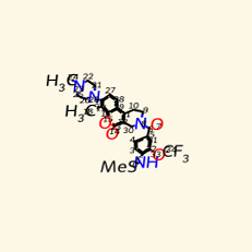 CSNc1ccc(C(=O)N2CCc3c(c(=O)oc4c(C)c(N5CCN(C)CC5)ccc34)C2)cc1OC(F)(F)F